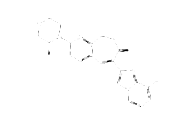 C[C@H]1CNCCN1C1CC=C2C=C(c3cn4cccc(F)c4n3)C(=O)CCC2=N1